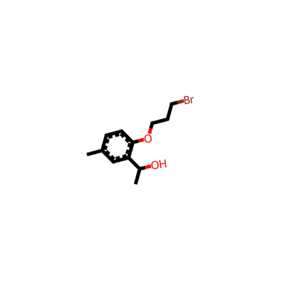 Cc1ccc(OCCCBr)c(C(C)O)c1